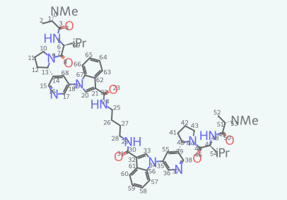 CN[C@@H](C)C(=O)N[C@H](C(=O)N1CCC[C@H]1c1cncc(-n2cc(C(=O)NCCCCNC(=O)c3cn(-c4cncc([C@@H]5CCCN5C(=O)[C@@H](NC(=O)[C@H](C)NC)C(C)C)c4)c4ccccc34)c3ccccc32)c1)C(C)C